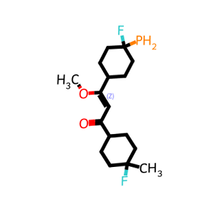 CO/C(=C\C(=O)C1CCC(C)(F)CC1)C1CCC(F)(P)CC1